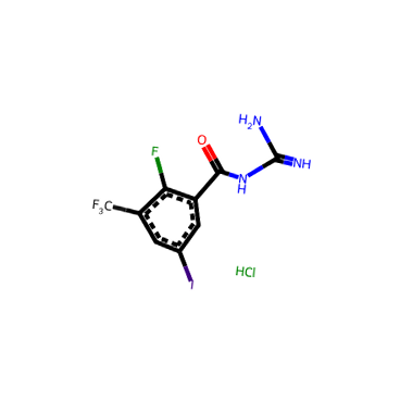 Cl.N=C(N)NC(=O)c1cc(I)cc(C(F)(F)F)c1F